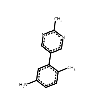 Cc1ncc(-c2cc(N)ccc2C)cn1